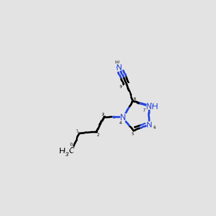 CCCCN1C=NNC1C#N